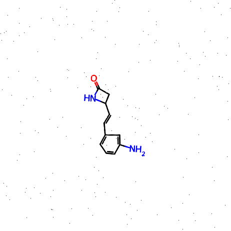 Nc1cccc(C=CC2CC(=O)N2)c1